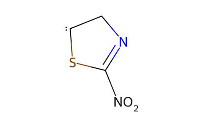 O=[N+]([O-])C1=NC[C]S1